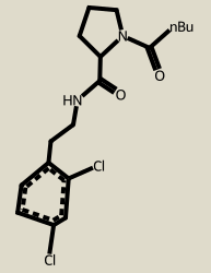 CCCCC(=O)N1CCCC1C(=O)NCCc1ccc(Cl)cc1Cl